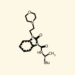 C[C@H](NC(=O)n1c(=O)n(CCN2CCOCC2)c2ccccc21)C(C)(C)C